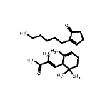 CC(=O)/C(C)=C/C1C(C)=CCCC1(C)C.CCCCCCC1=CCCC1=O